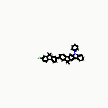 CC1(C)c2cc(Br)ccc2-c2ccc(-c3ccc4c(c3)C(C)(C)c3cc5c6ccccc6n(-c6ccccc6)c5cc3-4)cc21